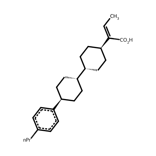 CC=C(C(=O)O)[C@H]1CC[C@H]([C@H]2CC[C@H](c3ccc(CCC)cc3)CC2)CC1